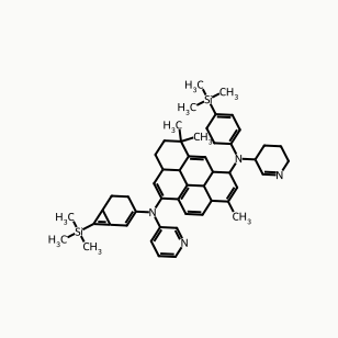 CC1=CC(N(C2=CC=C([Si](C)(C)C)CC2)C2C=NCCC2)C2C=C3C4C5=C(C=CC1C52)C(N(C1=CC2=C([Si](C)(C)C)C2CC1)c1cccnc1)=CC4CCC3(C)C